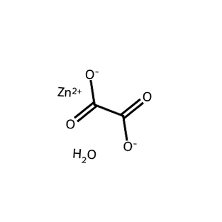 O.O=C([O-])C(=O)[O-].[Zn+2]